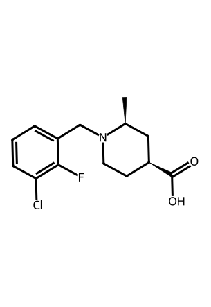 C[C@H]1C[C@@H](C(=O)O)CCN1Cc1cccc(Cl)c1F